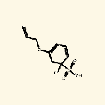 C=CCOC1=CC=CC(Br)(S(=O)(=O)O)C1